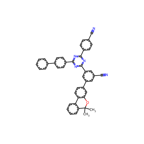 CC1(C)Oc2cc(-c3cc(C#N)cc(-c4nc(-c5ccc(C#N)cc5)nc(-c5ccc(-c6ccccc6)cc5)n4)c3)ccc2-c2ccccc21